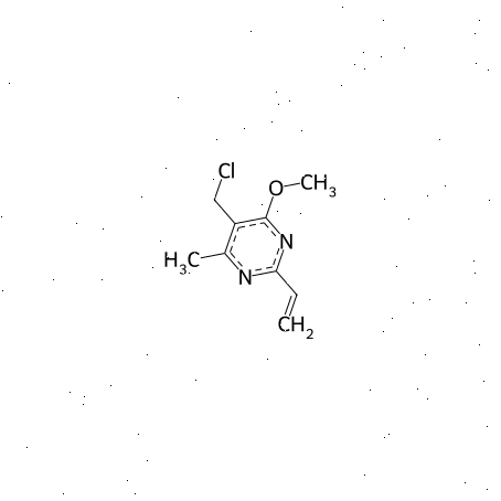 C=Cc1nc(C)c(CCl)c(OC)n1